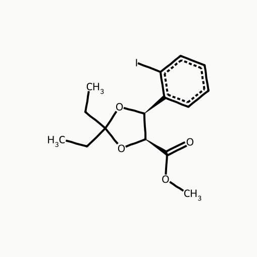 CCC1(CC)O[C@H](C(=O)OC)[C@H](c2ccccc2I)O1